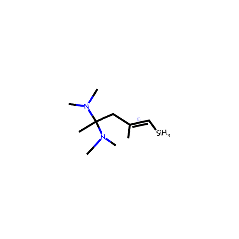 C/C(=C\[SiH3])CC(C)(N(C)C)N(C)C